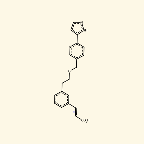 O=C(O)/C=C/c1cccc(CCOCc2ccc(-c3ccn[nH]3)nc2)c1